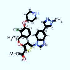 COC(=O)c1sc(-n2cnc3cc(-c4cnn(C)c4)ccc32)cc1O[C@H](C)c1cccc(OC2CCNCC2)c1Cl